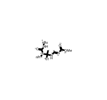 CCCCNC(=O)N(CCC)C(C)(CC)NC=NC(=O)OC